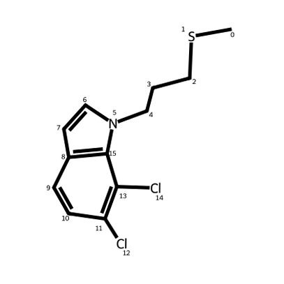 CSCCCn1ccc2ccc(Cl)c(Cl)c21